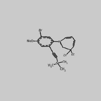 CCC1(CC)C=CC=CN(c2cc(Br)c(OC)cc2C#C[Si](C)(C)C)C1